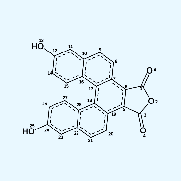 O=C1OC(=O)c2c1c1ccc3cc(O)ccc3c1c1c2ccc2cc(O)ccc21